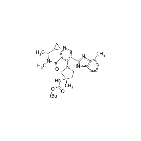 Cc1cccc2[nH]c(-c3cncc(C(=O)N(C)C(C)C4CC4)c3N3CC[C@](C)(NC(=O)OC(C)(C)C)C3)nc12